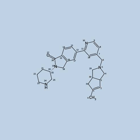 CC1=CC2CN(Cc3ccnc(-c4ccc5c(c4)CN([C@H]4CCCNC4)C5=O)c3)CC2C1